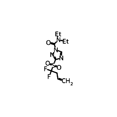 C=CCC(F)(F)S(=O)(=O)c1ncn(C(=O)N(CC)CC)n1